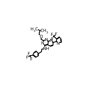 CC(C)COCc1nc(NCCc2ccc(C(F)(F)F)cc2)c2ccc(-c3ncccc3C(F)(F)F)nc2n1